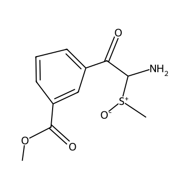 COC(=O)c1cccc(C(=O)C(N)[S+](C)[O-])c1